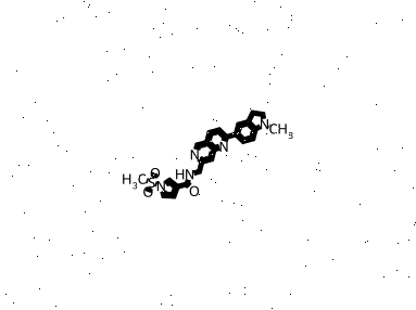 CN1CCc2cc(-c3ccc4cnc(CNC(=O)c5ccn(S(C)(=O)=O)c5)cc4n3)ccc21